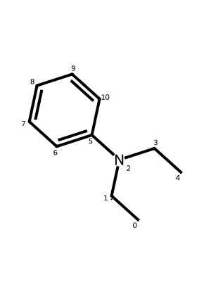 C[CH]N(CC)c1ccccc1